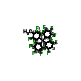 Cc1c(F)c(F)c([B-](c2c(F)c(F)cc(F)c2F)(c2c(F)c(F)c(F)c(F)c2F)c2c(F)c(F)c(F)c(F)c2F)c(F)c1F